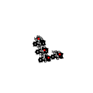 O=C(O)C(N1C(=O)c2ccccc2C1=O)C12CC3CC(CC(C3)C1)C2.O=C(O)C(N1C(=O)c2ccccc2C1=O)C12CC3CC(CC(C3)C1)C2.O=C(O)C(N1C(=O)c2ccccc2C1=O)C12CC3CC(CC(C3)C1)C2.O=C(O)C(N1C(=O)c2ccccc2C1=O)C12CC3CC(CC(C3)C1)C2.[Rh].[Rh]